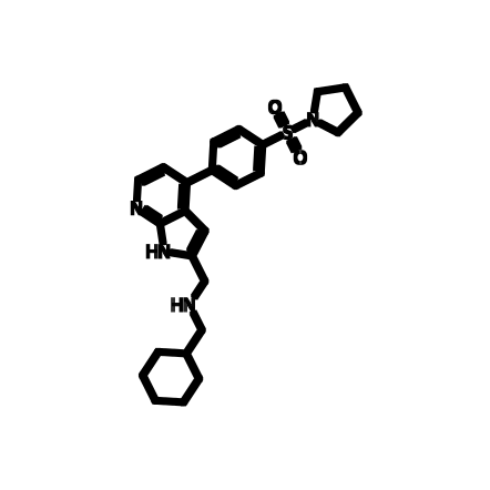 O=S(=O)(c1ccc(-c2ccnc3[nH]c(CNCC4CCCCC4)cc23)cc1)N1CCCC1